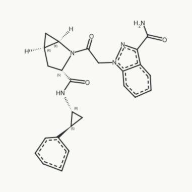 NC(=O)c1nn(CC(=O)N2[C@@H]3C[C@@H]3C[C@H]2C(=O)N[C@@H]2C[C@H]2c2ccccc2)c2ccccc12